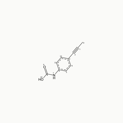 CC#Cc1ccc(NC(=O)O)cc1